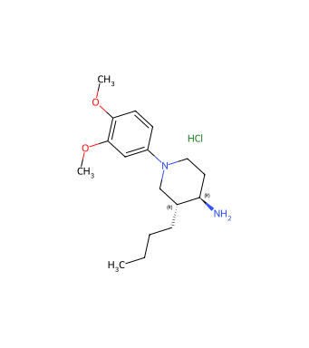 CCCC[C@@H]1CN(c2ccc(OC)c(OC)c2)CC[C@H]1N.Cl